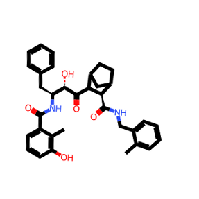 Cc1ccccc1CNC(=O)[C@@H]1C2CCC(C2)C1C(=O)[C@@H](O)[C@H](Cc1ccccc1)NC(=O)c1cccc(O)c1C